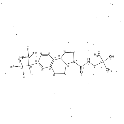 CC(C)(O)CNC(=O)N1CCC2c3ccc(C(F)(C(F)(F)F)C(F)(F)F)cc3CCC21